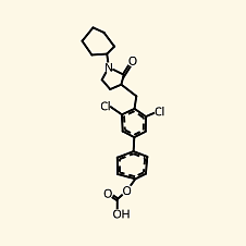 O=C(O)Oc1ccc(-c2cc(Cl)c(CC3CCN(C4CCCCC4)C3=O)c(Cl)c2)cc1